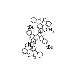 Cc1cccc(C)c1-c1cc(C2CCCCC2)cc2c1nc1n2c2c3c4cc(C(C)(C)C)ccc4n4c3c(c3c5cc(C(C)(C)C)ccc5n1c32)n1c2cc(C3CCCCC3)cc(-c3c(C)cccc3C)c2nc14